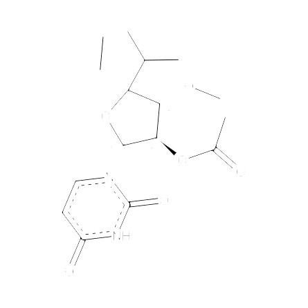 CC[C@@]1(C(C)C)O[C@@H](n2ccc(=O)[nH]c2=O)[C@H](OC(C)=O)[C@H]1OC